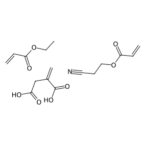 C=C(CC(=O)O)C(=O)O.C=CC(=O)OCC.C=CC(=O)OCCC#N